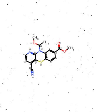 COC(=O)c1ccc2c(c1)N(C(C)OC)c1nccc(C#N)c1S2